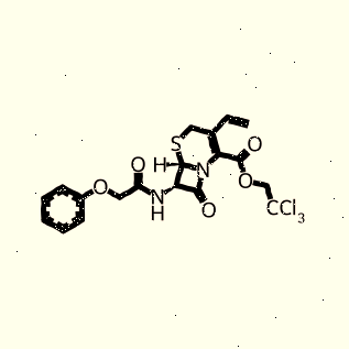 C=CC1=C(C(=O)OCC(Cl)(Cl)Cl)N2C(=O)[C@@H](NC(=O)COc3ccccc3)[C@@H]2SC1